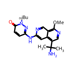 CC[C@H](C)n1nc(Nc2cc3c(C(C)(C)N)cnc(OC)c3cn2)ccc1=O